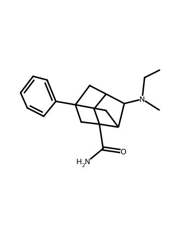 CCN(C)C1C2CC3(c4ccccc4)CC1C(C(N)=O)(C2)C3